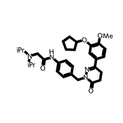 COc1ccc(C2=NN(Cc3ccc(NC(=O)CN(C(C)C)C(C)C)cc3)C(=O)CC2)cc1OC1CCCC1